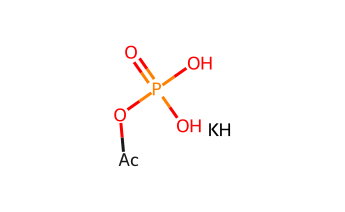 CC(=O)OP(=O)(O)O.[KH]